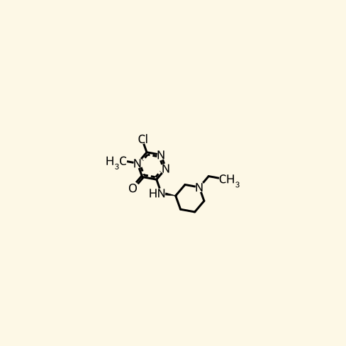 CCN1CCC[C@@H](Nc2nnc(Cl)n(C)c2=O)C1